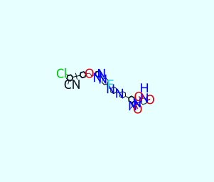 Cn1c(=O)n(C2CCC(=O)NC2=O)c2ccc(C3CCN(C4CCN(CC5(F)CCN(c6nccc(COc7ccc(C(C)(C)c8cc(Cl)cc(C#N)c8)cc7)n6)CC5)CC4)CC3)cc21